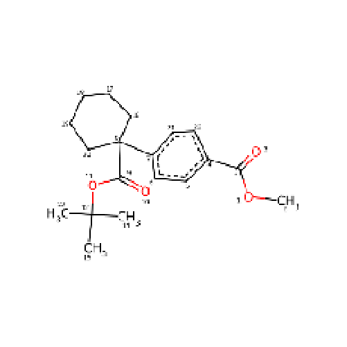 COC(=O)c1ccc(C2(C(=O)OC(C)(C)C)CCCCC2)cc1